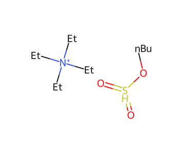 CCCCO[SH](=O)=O.CC[N+](CC)(CC)CC